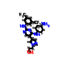 NC1CCC(Nc2nc(Nc3cc(C(F)(F)F)cc(C(F)(F)F)c3)ncc2-c2cnn(CCO)c2)CC1